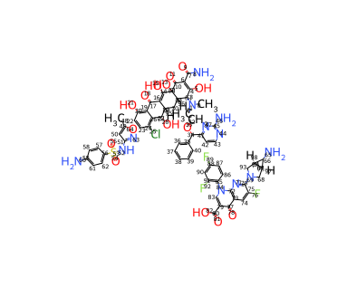 CN(C)[C@@H]1C(O)=C(C(N)=O)C(=O)[C@@]2(O)C(O)=C3C(=O)c4c(O)ccc(Cl)c4[C@@H](O)[C@H]3C[C@@H]12.COC(c1ccccc1)c1ccnc(N)n1.Cc1cc(NS(=O)(=O)c2ccc(N)cc2)no1.NC1[C@H]2CN(c3nc4c(cc3F)c(=O)c(C(=O)O)cn4-c3ccc(F)cc3F)C[C@@H]12